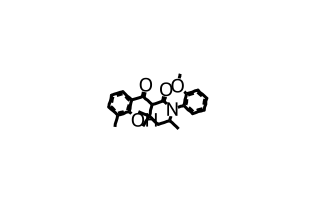 COc1ccccc1N1C(=O)C(C(=O)c2cccc(C)c2O)C(C)(C)CC1C